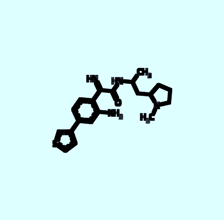 CC(CC1CCCN1C)NC(=O)C(=N)c1ccc(-c2ccsc2)cc1N